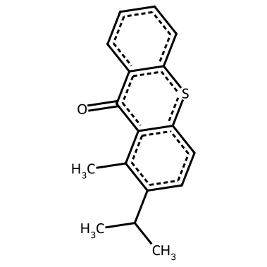 Cc1c(C(C)C)ccc2sc3ccccc3c(=O)c12